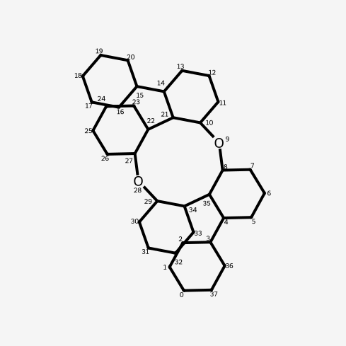 C1CCC(C2CCCC3OC4CCCC(C5CCCCC5)C4C4CCCCC4OC4CCCCC4C32)CC1